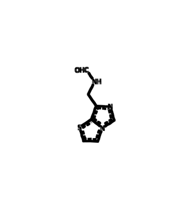 O=CNCc1ncn2ccsc12